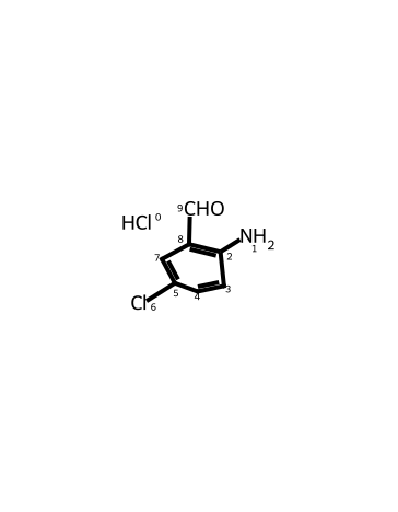 Cl.Nc1ccc(Cl)cc1C=O